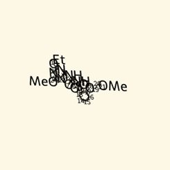 CCOc1nc(NC(=O)NS(=O)(=O)c2ccccc2OCCOC)nc(OC)n1